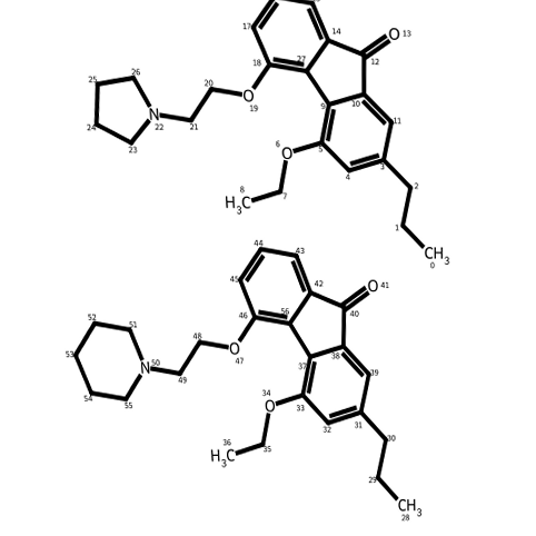 CCCc1cc(OCC)c2c(c1)C(=O)c1cccc(OCCN3CCCC3)c1-2.CCCc1cc(OCC)c2c(c1)C(=O)c1cccc(OCCN3CCCCC3)c1-2